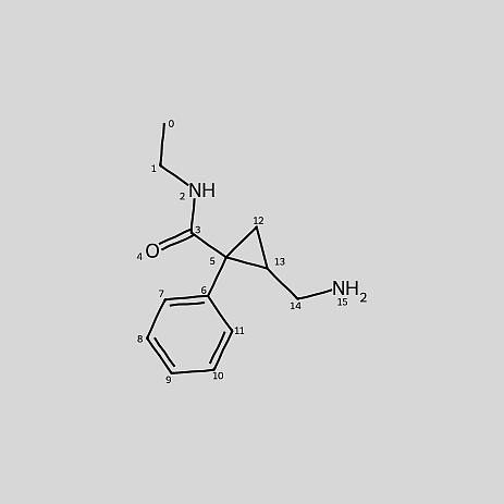 CCNC(=O)C1(c2ccccc2)CC1CN